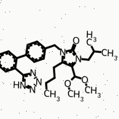 CCCCc1c(C(OC)OC)n(CC(C)C)c(=O)n1Cc1ccc(-c2ccccc2-c2nnn[nH]2)cc1